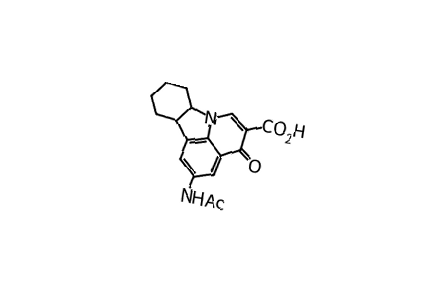 CC(=O)Nc1cc2c3c(c1)c(=O)c(C(=O)O)cn3C1CCCCC21